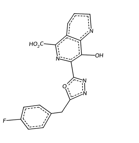 O=C(O)c1nc(-c2nnc(Cc3ccc(F)cc3)o2)c(O)c2ncccc12